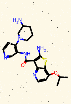 CC(C)Oc1ccnc2c(C(=O)Nc3cnccc3N3CCCC(N)C3)c(N)sc12